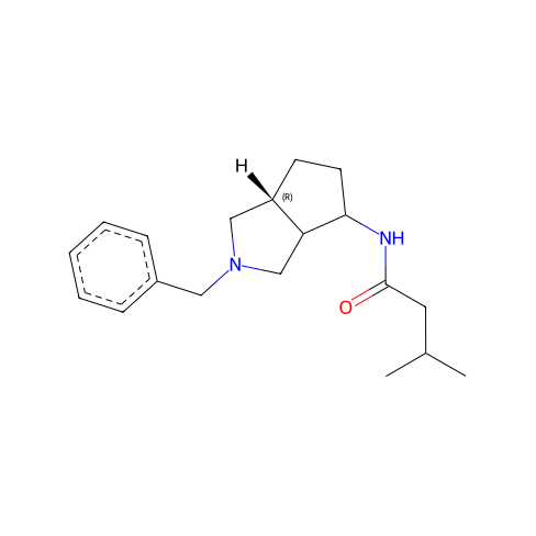 CC(C)CC(=O)NC1CC[C@H]2CN(Cc3ccccc3)CC12